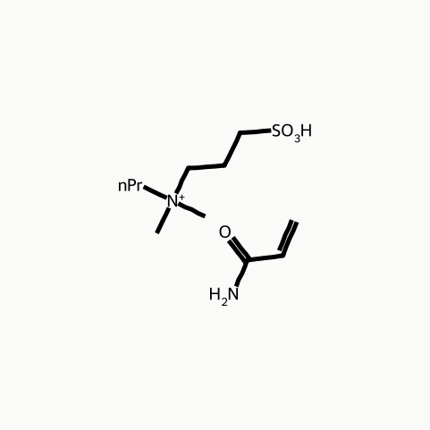 C=CC(N)=O.CCC[N+](C)(C)CCCS(=O)(=O)O